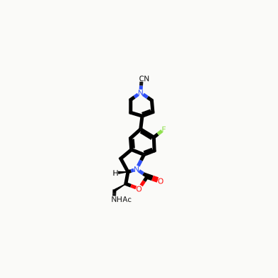 CC(=O)NC[C@@H]1OC(=O)N2c3cc(F)c(C4=CCN(C#N)CC4)cc3C[C@@H]12